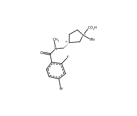 CN(C[C@@H]1CC[N+](C(=O)O)(C(C)(C)C)C1)C(=O)c1ccc(Br)cc1F